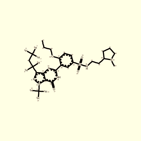 [2H]C([2H])([2H])CC([2H])([2H])c1nn(C([2H])([2H])[2H])c2c(=O)[nH]c(-c3cc(S(=O)(=O)NCCC4CCCN4C)ccc3OCCC)nc12